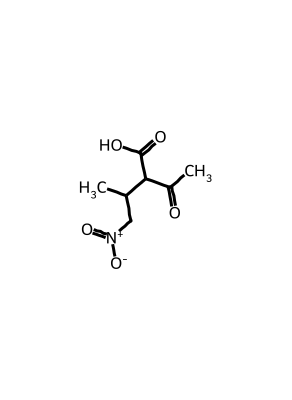 CC(=O)C(C(=O)O)C(C)C[N+](=O)[O-]